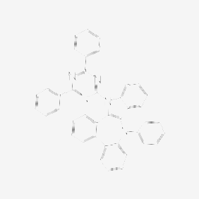 c1ccc(-c2nc(-c3ccccc3)nc(-n3c4c(c5ccccc53)N(c3ccccc3)c3ccccc3-c3ccccc3-4)n2)cc1